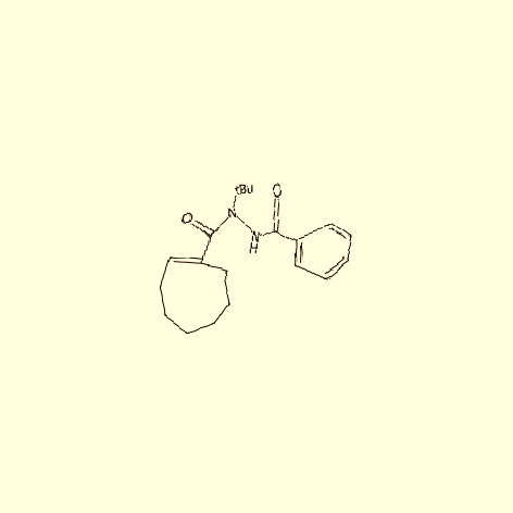 CC(C)(C)N(NC(=O)c1ccccc1)C(=O)C1=CCCCCCC1